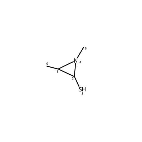 CC1C(S)N1C